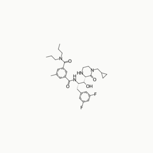 CCCN(CCC)C(=O)c1cc(C)cc(C(=O)N[C@@H](Cc2cc(F)cc(F)c2)C(O)[C@@H]2NCCN(CC3CC3)C2=O)c1